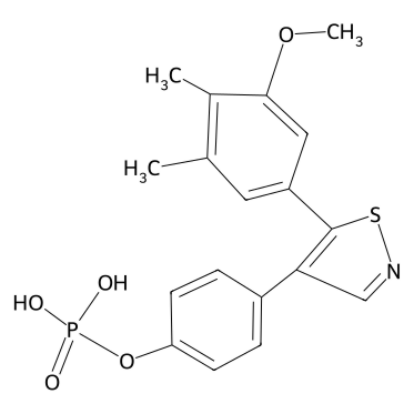 COc1cc(-c2sncc2-c2ccc(OP(=O)(O)O)cc2)cc(C)c1C